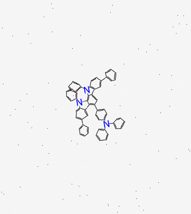 c1ccc(-c2ccc3c(c2)c2cc(-c4ccc(N(c5ccccc5)c5ccccc5)cc4)c4c5cc(-c6ccccc6)ccc5n(-c5ccccc5)c4c2n3-c2ccccc2)cc1